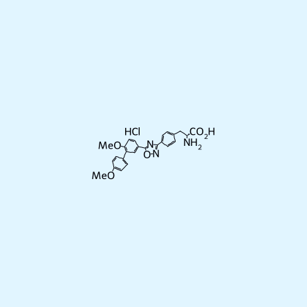 COc1ccc(-c2cc(-c3nc(-c4ccc(C[C@H](N)C(=O)O)cc4)no3)ccc2OC)cc1.Cl